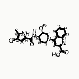 CO[C@H]1CN(c2cc(C(=O)O)nc3ccccc23)CC[C@H]1NC(=O)c1cc(Cl)c(C)[nH]1